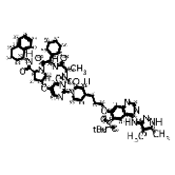 Cc1[nH]nc(Nc2ncnc3cc(OCCCC4CCN(c5ncc(O[C@H]6C[C@@H](C(=O)N[C@@H]7CCCc8ccccc87)N(C(=O)[C@@H](NC(=O)[C@H](C)N(C)C(=O)O)C7CCCCC7)C6)cn5)CC4)c(S(=O)(=O)C(C)(C)C)cc23)c1C